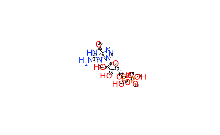 Nc1nc2c(nnn2[C@@H]2O[C@H](COP(=O)(O)OP(=O)(O)O)C(O)C2O)c(=O)[nH]1